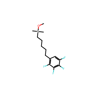 CO[Si](C)(C)CCCCCc1cc(F)c(F)c(F)c1F